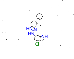 Clc1cc(Nc2nc3cc(C4=CCCCC4)ccc3[nH]2)cc2[nH]ccc12